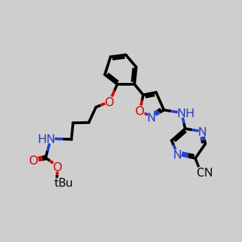 CC(C)(C)OC(=O)NCCCCOc1ccccc1-c1cc(Nc2cnc(C#N)cn2)no1